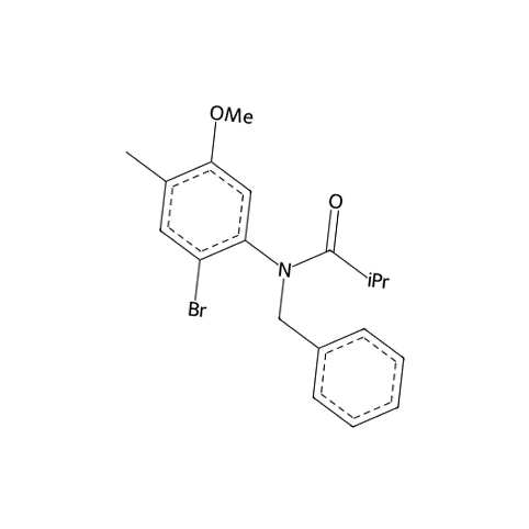 COc1cc(N(Cc2ccccc2)C(=O)C(C)C)c(Br)cc1C